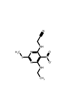 CCNc1nc(SC)nc(NCC#N)c1[N+](=O)[O-]